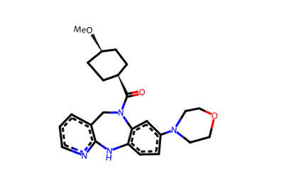 CO[C@H]1CC[C@@H](C(=O)N2Cc3cccnc3Nc3ccc(N4CCOCC4)cc32)CC1